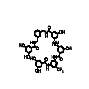 O=C(NCc1cccc(CNC(=O)c2cc(O)cc(O)c2)c1)c1cc(O)cc(O)c1.O=C(Nc1cc(NC(=O)c2cc(O)cc(O)c2)cc(C(F)(F)F)c1)c1cc(O)cc(O)c1